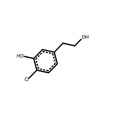 OCCc1ccc(Cl)c(O)c1